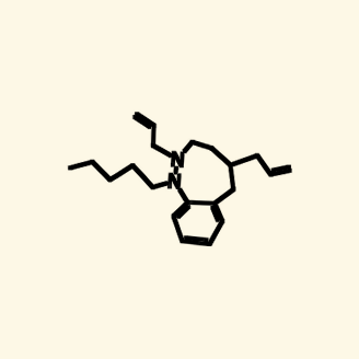 C=CCC1CCN(CC=C)N(CCCCC)c2ccccc2C1